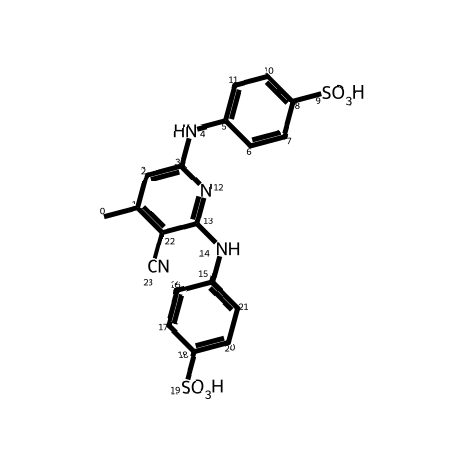 Cc1cc(Nc2ccc(S(=O)(=O)O)cc2)nc(Nc2ccc(S(=O)(=O)O)cc2)c1C#N